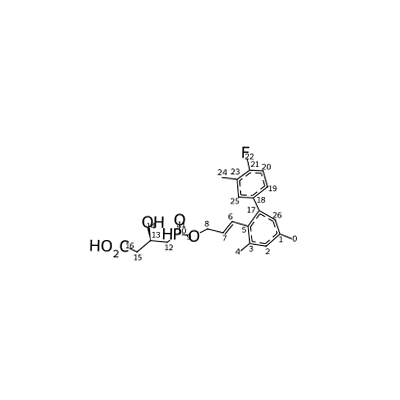 Cc1cc(C)c(C=CCO[PH](=O)C[C@H](O)CC(=O)O)c(-c2ccc(F)c(C)c2)c1